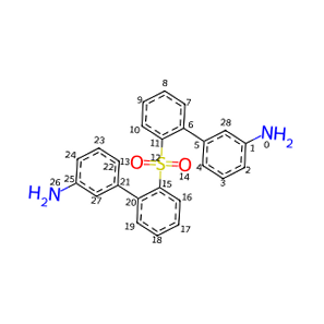 Nc1cccc(-c2ccccc2S(=O)(=O)c2ccccc2-c2cccc(N)c2)c1